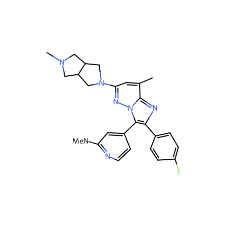 CNc1cc(-c2c(-c3ccc(F)cc3)nc3c(C)cc(N4CC5CN(C)CC5C4)nn23)ccn1